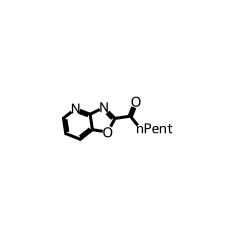 CCCCCC(=O)c1nc2ncccc2o1